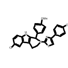 COc1ccc(C2c3[nH]c4ccc(Cl)cc4c3CCN2c2nc(-c3ccc(Cl)cc3)cs2)cc1